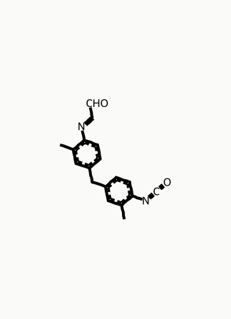 Cc1cc(Cc2ccc(N=CC=O)c(C)c2)ccc1N=C=O